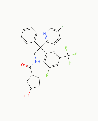 O=C(NCC(c1ccccc1)(c1cc(F)cc(C(F)(F)F)c1)c1ccc(Cl)cn1)C1CCC(O)C1